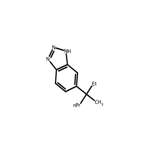 CCCC(C)(CC)c1ccc2nn[nH]c2c1